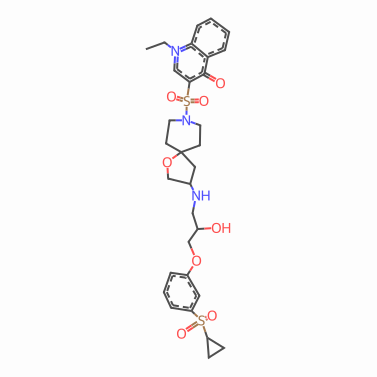 CCn1cc(S(=O)(=O)N2CCC3(CC2)CC(NCC(O)COc2cccc(S(=O)(=O)C4CC4)c2)CO3)c(=O)c2ccccc21